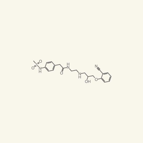 CS(=O)(=O)Nc1ccc(CC(=O)NCCNCC(O)COc2ccccc2C#N)cc1